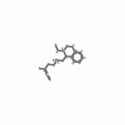 C=C=C(C)CCNCC1c2ccccc2CCN1CC